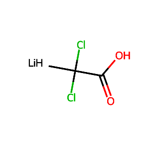 CC(Cl)(Cl)C(=O)O.[LiH]